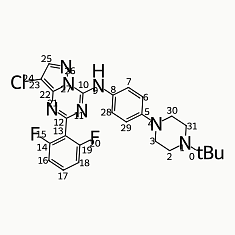 CC(C)(C)N1CCN(c2ccc(Nc3nc(-c4c(F)cccc4F)nc4c(Cl)cnn34)cc2)CC1